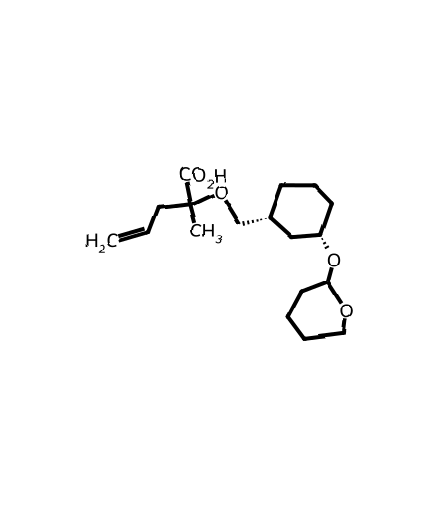 C=CCC(C)(OC[C@@H]1CCC[C@H](OC2CCCCO2)C1)C(=O)O